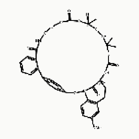 COc1ccc2c(c1)CC[C@H]1NC(=O)CC(C)(C)NC[C@@H](C)OC(=O)CCCNC(=O)c3ccccc3-c3ccc(cc3)CN2C1=O